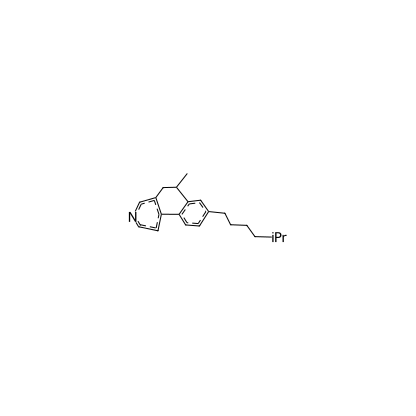 CC(C)CCCCc1ccc2c(c1)C(C)Cc1cnccc1-2